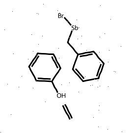 C=C.Oc1ccccc1.[Br][Sb][CH2]c1ccccc1